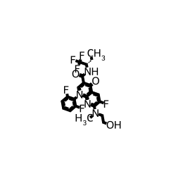 CC[C@H](NC(=O)c1cn(-c2c(F)cccc2F)c2nc(N(C)CCO)c(F)cc2c1=O)C(F)(F)F